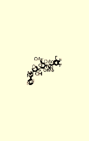 COC1C(SC2COCC(n3cc(-c4cnccn4)nn3)C2O)OC(COC(C)=O)C(OC(C)=O)C1n1cc(-c2cc(F)c(F)c(F)c2)nn1